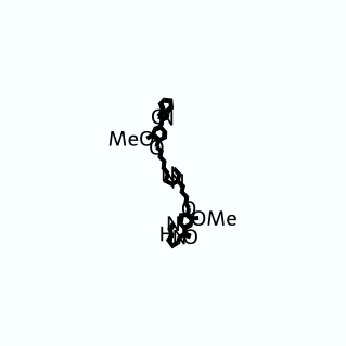 COc1cc(-c2nc3ccccc3o2)ccc1OCCCCN1CCN(CCCCOc2cc3c(cc2OC)C(=O)N2CCC[C@H]2C=N3)CC1